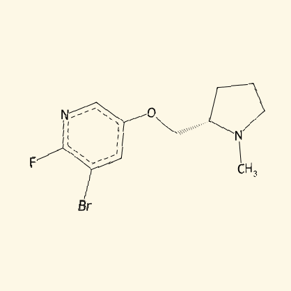 CN1CCC[C@H]1COc1cnc(F)c(Br)c1